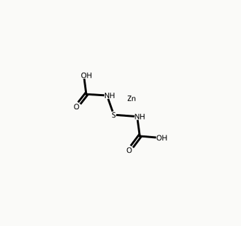 O=C(O)NSNC(=O)O.[Zn]